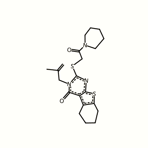 C=C(C)Cn1c(SCC(=O)N2CCCCC2)nc2sc3c(c2c1=O)CCCC3